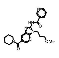 COCCCn1c(NC(=O)c2cccnc2)nc2cc(C(=O)N3CCCCC3)cnc21